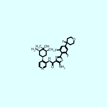 C[C@H]1C[C@@H](c2ccncc2NC(=O)c2nc(-c3c(F)cc(C4(F)CCOCC4)cc3F)sc2N)C[C@@H](N)[C@]1(C)O